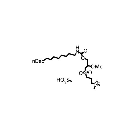 CCCCCCCCCCCCCCCCCCNC(=O)OCC(CS(=O)(=O)CCC[N+](C)(C)C)OC.CS(=O)(=O)O